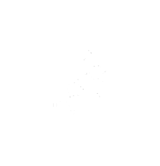 NC(=O)c1cccc(C[n+]2cccc(C(=O)O)c2)c1.[Br-]